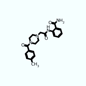 Cc1ccc(C(=O)N2CCN(CC(=O)Nc3ccccc3C(N)=O)CC2)cc1